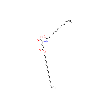 CCCCCCCCCCCCCCOC(=O)CC[C@H](NC(=O)CCCCCCCCCCC)C(=O)O